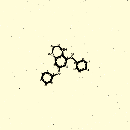 c1ccc(Sc2cc3c(c(Sc4ccccc4)c2)NCCO3)cc1